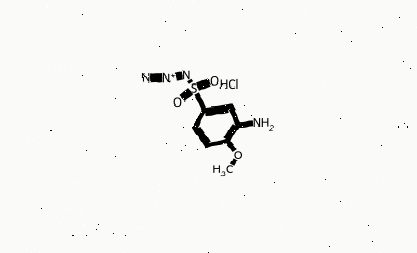 COc1ccc(S(=O)(=O)N=[N+]=[N-])cc1N.Cl